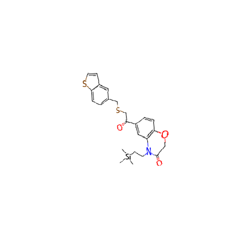 C[Si](C)(C)CCN1C(=O)COc2ccc(C(=O)CSCc3ccc4sccc4c3)cc21